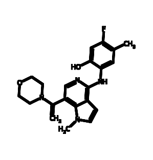 C=C(c1cnc(Nc2cc(C)c(F)cc2O)c2ccn(C)c12)N1CCOCC1